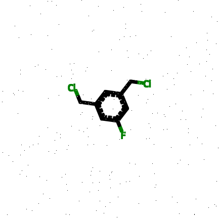 Fc1cc(CCl)cc(CCl)c1